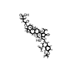 CC(C)C1=C2[C@H]3CC[C@@H]4[C@@]5(C)CC[C@H](OC(=O)CC(C)(C)C(=O)O)C(C)(C)[C@@H]5CC[C@@]4(C)[C@]3(C)CC[C@@]2([C@@H](O)CN(CCN(C)C)Cc2ccc(OC(F)(F)F)cc2)CC1=O